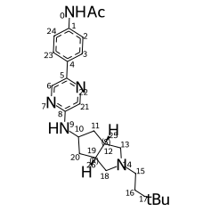 CC(=O)Nc1ccc(-c2cnc(NC3C[C@@H]4CN(CCC(C)(C)C)C[C@@H]4C3)cn2)cc1